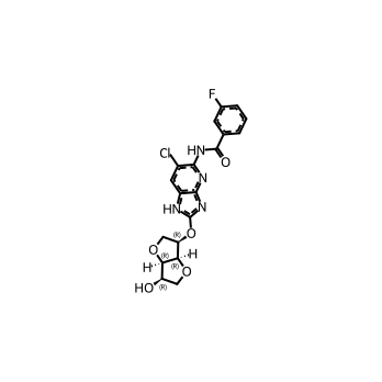 O=C(Nc1nc2nc(O[C@@H]3CO[C@H]4[C@@H]3OC[C@H]4O)[nH]c2cc1Cl)c1cccc(F)c1